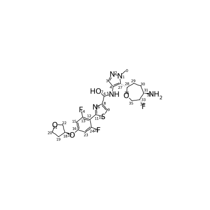 Cn1ncc(NC(O)c2csc(-c3c(F)cc(O[C@H]4CCOC4)cc3F)n2)c1[C@@H]1CC[C@@H](N)[C@H](F)CO1